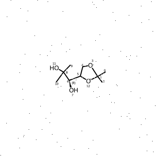 CC1(C)OCC([C@@H](O)C(C)(C)O)O1